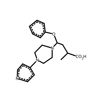 CC(CC(Oc1ccccc1)N1CCN(c2ccncc2)CC1)C(=O)O